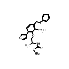 CC(COc1c(-c2ccoc2)ccc(CSc2ccccc2)c1C(=O)O)NC(=O)OC(C)(C)C